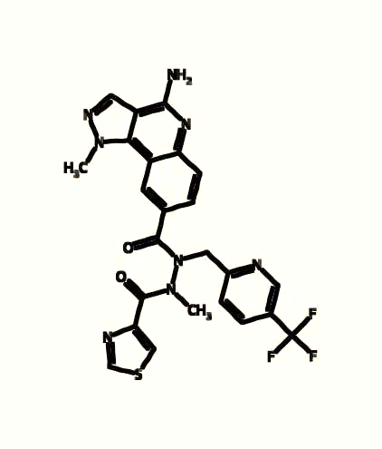 CN(C(=O)c1cscn1)N(Cc1ccc(C(F)(F)F)cn1)C(=O)c1ccc2nc(N)c3cnn(C)c3c2c1